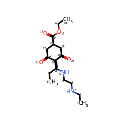 CCNCCNC(CC)=C1C(=O)CC(C(=O)OCC)CC1=O